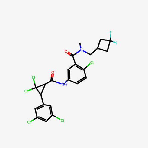 CN(CC1CC(F)(F)C1)C(=O)c1cc(NC(=O)C2C(c3cc(Cl)cc(Cl)c3)C2(Cl)Cl)ccc1Cl